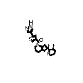 O=C(c1csc(-c2cn[nH]c2)c1)N1CCCC2CC(F)(c3ncccc3F)CC21